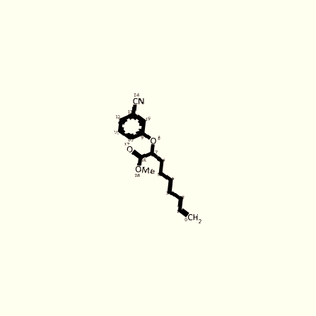 C=CCCCCCC(Oc1cccc(C#N)c1)C(=O)OC